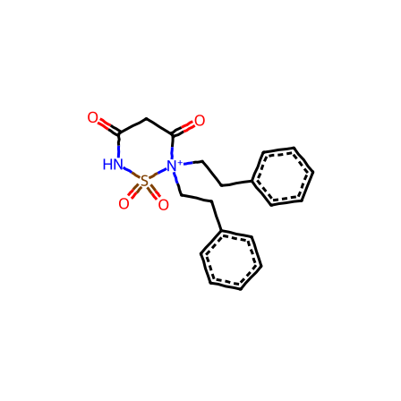 O=C1CC(=O)[N+](CCc2ccccc2)(CCc2ccccc2)S(=O)(=O)N1